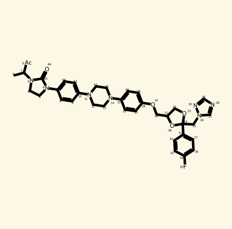 CC(=O)C(C)N1CCN(c2ccc(N3CCN(c4ccc(OCC5COC(Cn6cncn6)(c6ccc(F)cc6)O5)cc4)CC3)cc2)C1=O